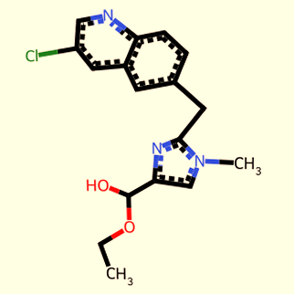 CCOC(O)c1cn(C)c(Cc2ccc3ncc(Cl)cc3c2)n1